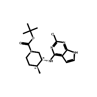 C[C@H]1CCN(C(=O)OC(C)(C)C)C[C@@H]1Nc1nc(Cl)nc2[nH]ccc12